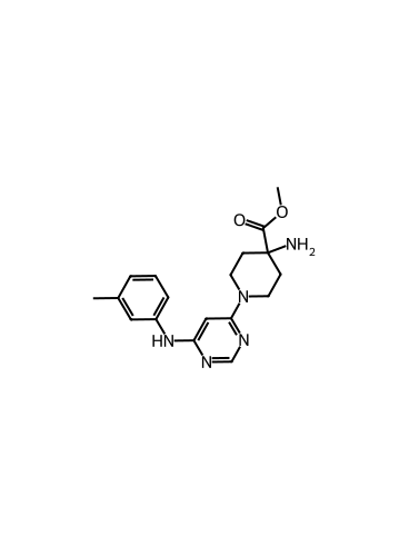 COC(=O)C1(N)CCN(c2cc(Nc3cccc(C)c3)ncn2)CC1